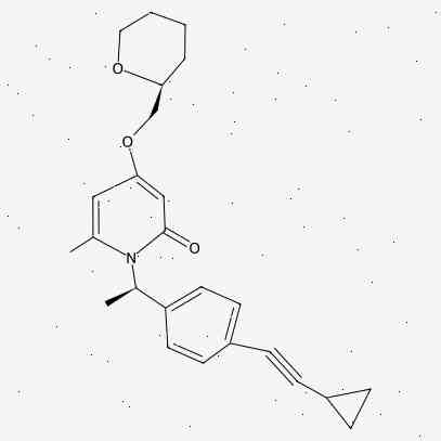 Cc1cc(OC[C@@H]2CCCCO2)cc(=O)n1[C@H](C)c1ccc(C#CC2CC2)cc1